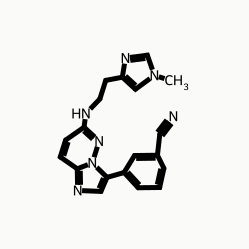 Cn1cnc(CCNc2ccc3ncc(-c4cccc(C#N)c4)n3n2)c1